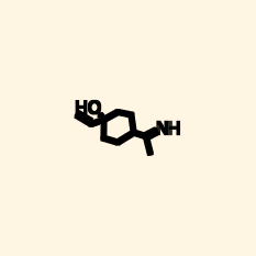 C=CC1(O)CCC(C(C)=N)CC1